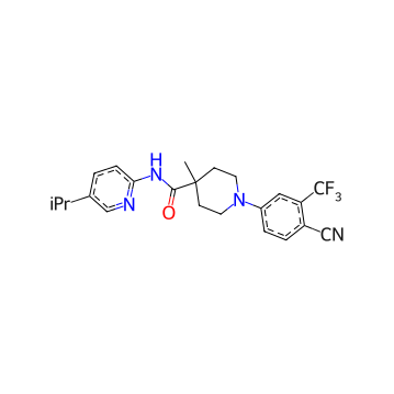 CC(C)c1ccc(NC(=O)C2(C)CCN(c3ccc(C#N)c(C(F)(F)F)c3)CC2)nc1